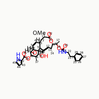 CO[C@H]1C[C@H]2C=C[C@H]3[C@H]4O[C@]2(/C(C)=C/[C@@H](C)[C@@H]([C@@H](C)OC(=O)NCCc2ccccc2)OC1=O)[C@@H]3[C@H](O)[C@@H](C)[C@H]4OC(=O)c1ccc[nH]1